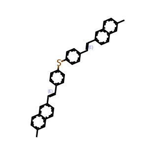 Cc1ccc2cc(/C=C/c3ccc(Sc4ccc(/C=C/c5ccc6cc(C)ccc6c5)cc4)cc3)ccc2c1